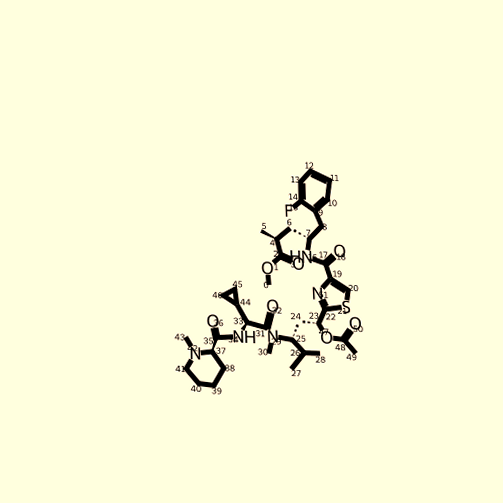 COC(=O)[C@@H](C)C[C@H](Cc1ccccc1F)NC(=O)c1csc([C@@H](C[C@H](C(C)C)N(C)C(=O)[C@@H](NC(=O)[C@H]2CCCCN2C)C2CC2)OC(C)=O)n1